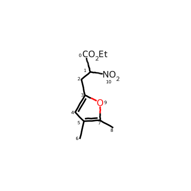 CCOC(=O)C(Cc1cc(C)c(C)o1)[N+](=O)[O-]